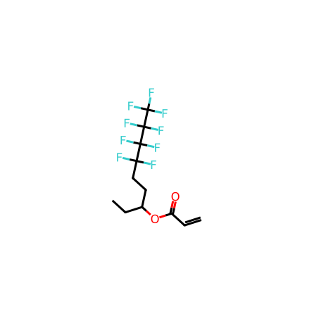 C=CC(=O)OC(CC)CCC(F)(F)C(F)(F)C(F)(F)C(F)(F)F